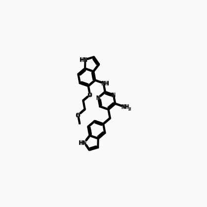 COCCOc1ccc2[nH]ccc2c1Nc1ncc(Cc2ccc3[nH]ccc3c2)c(N)n1